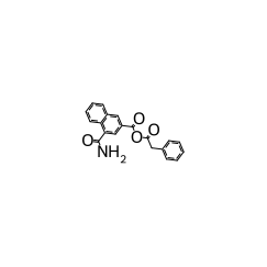 NC(=O)c1cc(C(=O)OC(=O)Cc2ccccc2)cc2ccccc12